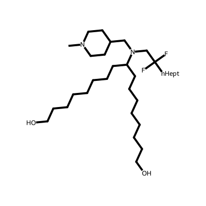 CCCCCCCC(F)(F)CN(CC1CCN(C)CC1)C(CCCCCCCCO)CCCCCCCCO